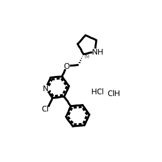 Cl.Cl.Clc1ncc(OC[C@@H]2CCCN2)cc1-c1ccccc1